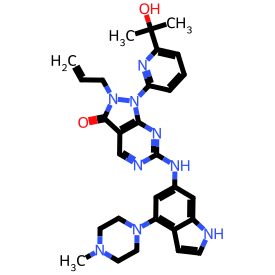 C=CCn1c(=O)c2cnc(Nc3cc(N4CCN(C)CC4)c4cc[nH]c4c3)nc2n1-c1cccc(C(C)(C)O)n1